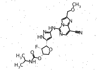 COCc1cn2c(Nc3cc([C@@H]4OC[C@H](OC(=O)NC(C)C)[C@@H]4F)[nH]n3)ncc(C#N)c2n1